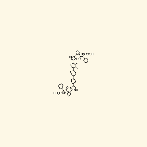 Cc1c(-c2ccc(-c3ccc(-c4c[nH]c(C5CCCN5C(=O)C(NC(=O)O)c5ccccc5)n4)cc3)cc2)ccc(-c2c[nH]c([C@@H]3CCCN3C(=O)[C@H](NC(=O)O)c3ccccc3)n2)c1C